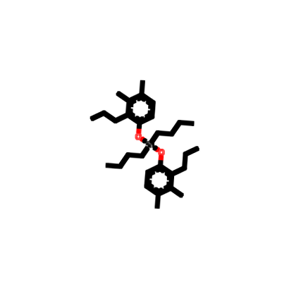 CCC[CH2][Sn]([CH2]CCC)([O]c1ccc(C)c(C)c1CCC)[O]c1ccc(C)c(C)c1CCC